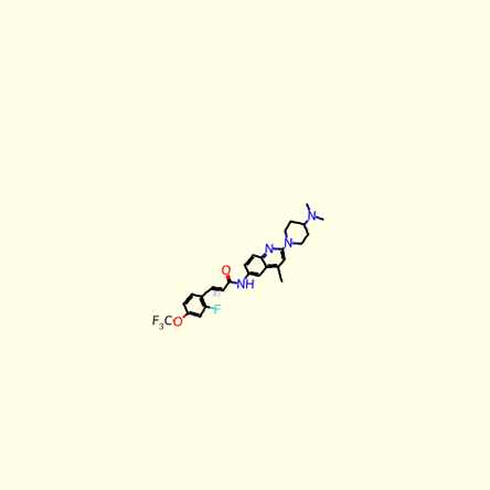 Cc1cc(N2CCC(N(C)C)CC2)nc2ccc(NC(=O)/C=C/c3ccc(OC(F)(F)F)cc3F)cc12